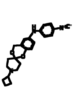 [C-]#[N+]c1ccc(Nc2ccc3c(c2)COC2(CCN(C4CCC4)CC2)O3)cc1